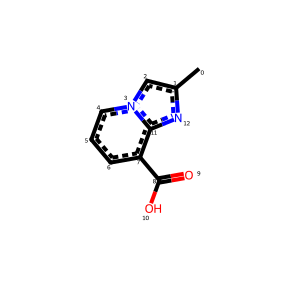 Cc1cn2cccc(C(=O)O)c2n1